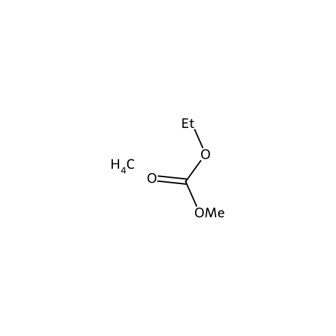 C.CCOC(=O)OC